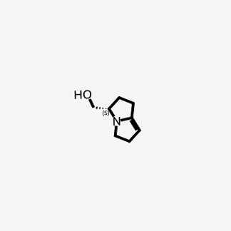 OC[C@@H]1CCC2=CCCN21